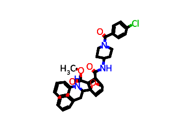 COC(=O)C1=C(C(=O)NC2CCN(C(=O)c3ccc(Cl)cc3)CC2)C2C=CC1(C(Cc1ccccc1)Nc1ccccc1)O2